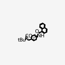 CC(C)(C)N(CC1CCC(NC(=O)c2cccc3ccccc23)CC1)C(=O)O